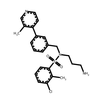 Cc1cnccc1-c1cccc(CN(CCCN)S(=O)(=O)c2cccc(Cl)c2C)c1